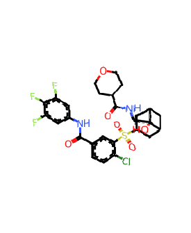 O=C(Nc1cc(F)c(F)c(F)c1)c1ccc(Cl)c(S(=O)(=O)C2CC3CC(C2)C3(O)CNC(=O)C2CCOCC2)c1